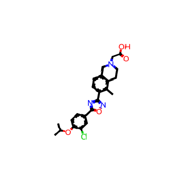 Cc1c(-c2noc(-c3ccc(OC(C)C)c(Cl)c3)n2)ccc2c1CCN(CC(=O)O)C2